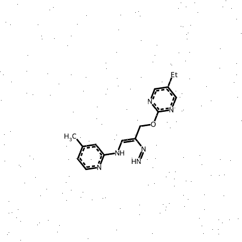 CCc1cnc(OC/C(=C/Nc2cc(C)ccn2)N=N)nc1